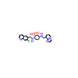 O[C@@H]1[C@H](O)[C@@H](NCc2cccn3ccnc23)CC[C@@H]1NCc1cc2cccnc2cc1F